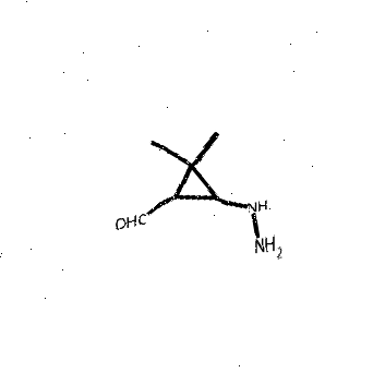 CC1(C)C(C=O)C1NN